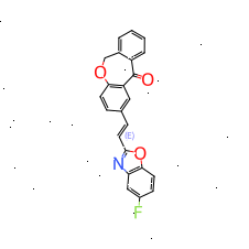 O=C1c2ccccc2COc2ccc(/C=C/c3nc4cc(F)ccc4o3)cc21